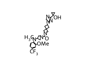 COc1cc(C(F)(F)F)ccc1N(C)C1CN(C(=O)N2CC3(CC(n4cnc(C5(O)CC5)n4)C3)C2)C1